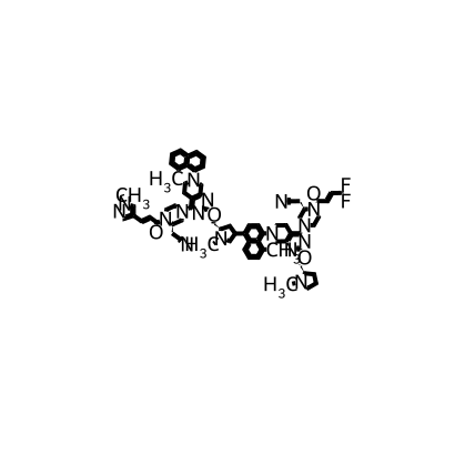 Cc1cccc2cccc(N3CCc4c(nc(OC[C@@H]5CC(c6ccc(N7CCc8c(nc(OC[C@@H]9CCCN9C)nc8N8CCN(C(=O)/C=C/C(F)F)[C@@H](CC#N)C8)C7)c7c(C)cccc67)CN5C)nc4N4CCN(C(=O)/C=C/c5cnn(C)c5)[C@@H](CC#N)C4)C3)c12